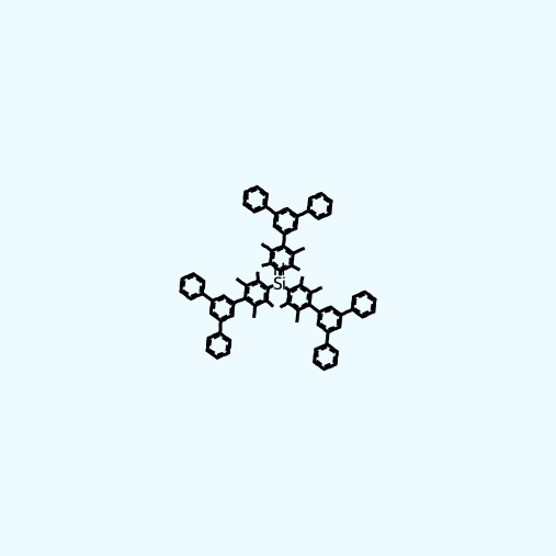 Cc1c(C)c([SiH](c2c(C)c(C)c(-c3cc(-c4ccccc4)cc(-c4ccccc4)c3)c(C)c2C)c2c(C)c(C)c(-c3cc(-c4ccccc4)cc(-c4ccccc4)c3)c(C)c2C)c(C)c(C)c1-c1cc(-c2ccccc2)cc(-c2ccccc2)c1